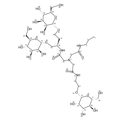 CCCNC(=O)CN(CC(=O)NCCO[C@@H]1O[C@H](CO)[C@@H](O)[C@H](O)[C@@H]1O)CC(=O)N[C@H](CCO[C@H]1O[C@H](CO)[C@@H](O)[C@H](O)[C@@H]1O)CO[C@H]1O[C@H](CO)[C@@H](O)[C@H](O)[C@@H]1O